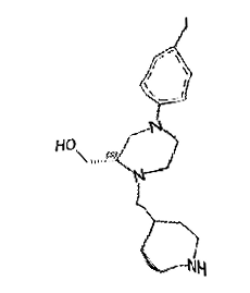 OC[C@@H]1CN(c2ccc(I)cc2)CCN1CC1CCNCC1